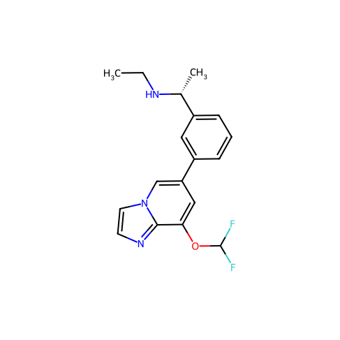 CCN[C@H](C)c1cccc(-c2cc(OC(F)F)c3nccn3c2)c1